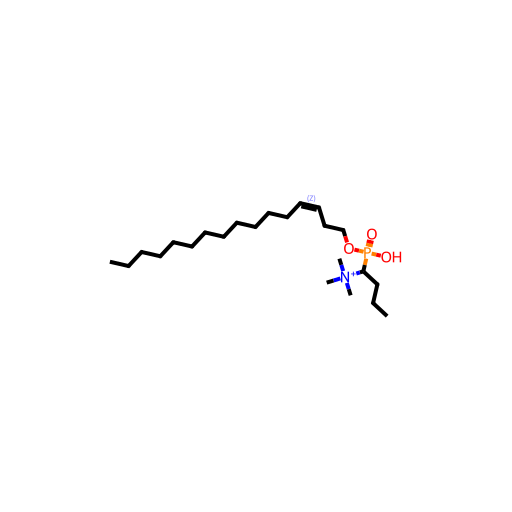 CCCCCCCCCCCC/C=C\CCOP(=O)(O)C(CCC)[N+](C)(C)C